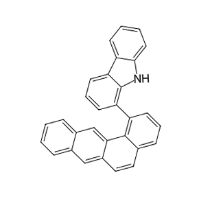 c1ccc2cc3c(ccc4cccc(-c5cccc6c5[nH]c5ccccc56)c43)cc2c1